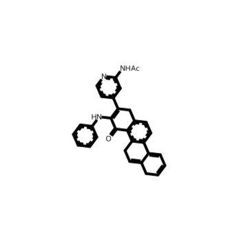 CC(=O)Nc1cc(C2=C(Nc3ccccc3)C(=O)c3c(ccc4c3CC=C3CC=CC=C34)C2)ccn1